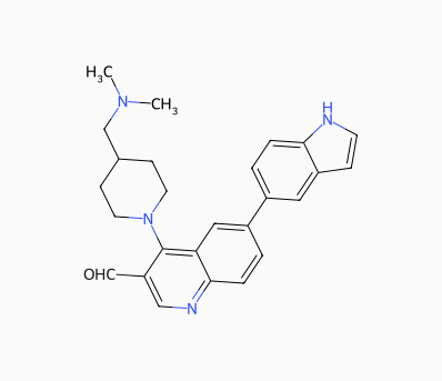 CN(C)CC1CCN(c2c(C=O)cnc3ccc(-c4ccc5[nH]ccc5c4)cc23)CC1